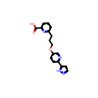 O=C(O)c1cccc(CCCOc2ccc(-c3ccn[nH]3)nc2)n1